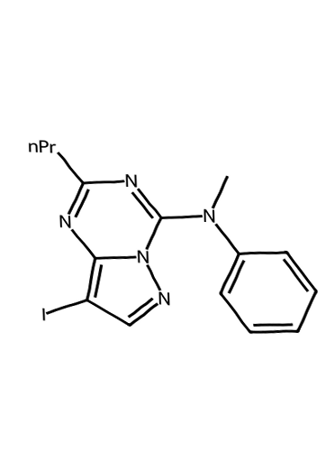 CCCc1nc(N(C)c2ccccc2)n2ncc(I)c2n1